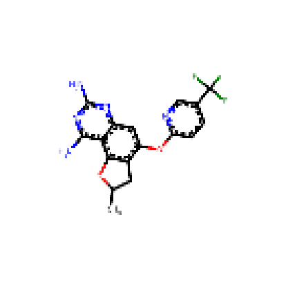 CC1Cc2c(Oc3ccc(C(F)(F)F)cn3)cc3nc(N)nc(N)c3c2O1